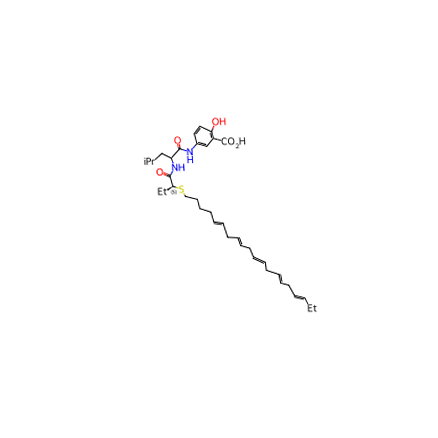 CCC=CCC=CCC=CCC=CCC=CCCCCS[C@@H](CC)C(=O)NC(CC(C)C)C(=O)Nc1ccc(O)c(C(=O)O)c1